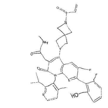 C=CC(=O)N1CC2(C1)CN(c1c(C(=O)NC)c(=O)n(-c3c(C)ccnc3C(C)C)c3nc(-c4c(O)cccc4F)c(F)cc13)C2